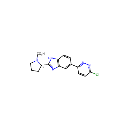 O=C(O)N1CCC[C@H]1c1nc2cc(-c3ccc(Cl)nn3)ccc2[nH]1